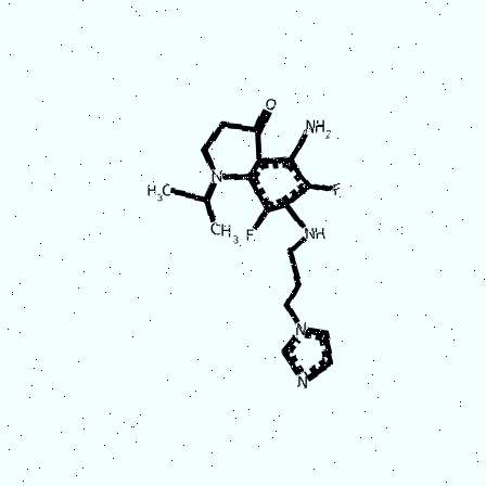 CC(C)N1CCC(=O)c2c(N)c(F)c(NCCCn3ccnc3)c(F)c21